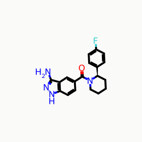 Nc1n[nH]c2ccc(C(=O)N3CCCC[C@@H]3c3ccc(F)cc3)cc12